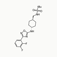 CC(C)(C)S(=O)(=O)NC[C@H]1CC[C@H](Nc2nc(-c3cccc(F)c3F)no2)CC1